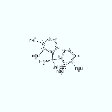 CCCCCCCC(P)(c1cccc(CCCC)c1CCCC)c1cccc(CCCC)c1CCCC